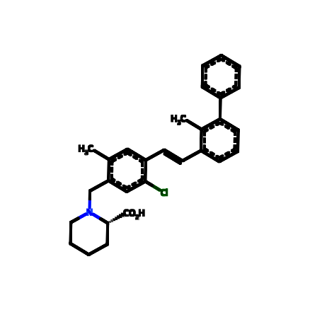 Cc1cc(/C=C/c2cccc(-c3ccccc3)c2C)c(Cl)cc1CN1CCCC[C@H]1C(=O)O